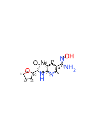 NC(=NO)c1cnc(NCC2CCCO2)c([N+](=O)[O-])c1